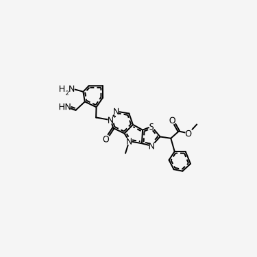 COC(=O)C(c1ccccc1)c1nc2c(s1)c1cnn(Cc3cccc(N)c3C=N)c(=O)c1n2C